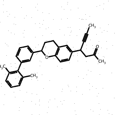 CC#CC(CC(C)=O)c1ccc2c(c1)CCC(c1cccc(-c3c(C)cccc3C)c1)O2